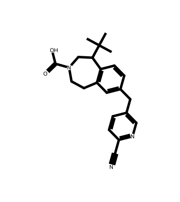 CC(C)(C)C1CN(C(=O)O)CCc2cc(Cc3ccc(C#N)nc3)ccc21